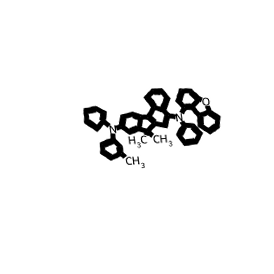 Cc1cccc(N(c2ccccc2)c2ccc3c(c2)C(C)(C)c2cc(N(c4ccccc4)c4cccc5oc6ccccc6c45)c4ccccc4c2-3)c1